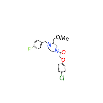 COCC1CN(C(=O)COc2ccc(Cl)cc2)CCN1Cc1ccc(F)cc1